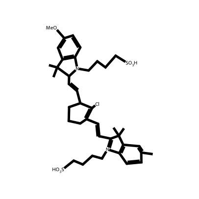 COc1ccc2c(c1)C(C)(C)C(/C=C/C1CCCC(/C=C/C3=[N+](CCCCS(=O)(=O)O)c4ccc(C)cc4C3(C)C)=C1Cl)N2CCCCS(=O)(=O)O